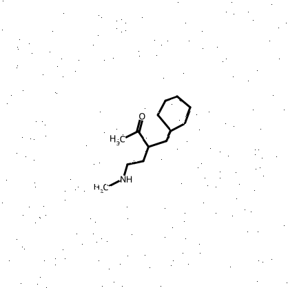 CNCCC(CC1CCCCC1)C(C)=O